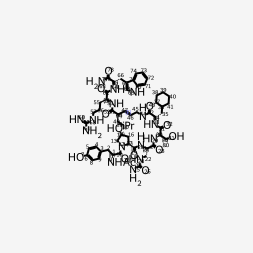 CC(=O)N[C@H](Cc1ccc(O)cc1)C(=O)N1C[C@H](O)C[C@H]1C(=O)N[C@@H](CNC(N)=O)C(=O)N[C@H](C(=O)N[C@@H](CC1CCCCC1)C(=O)NC/C=C/[C@@H](CC(C)C)C(=O)N[C@@H](CCCNC(=N)N)C(=O)N[C@@H](Cc1c[nH]c2ccccc12)C(N)=O)[C@@H](C)O